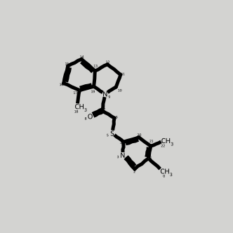 Cc1cnc(SCC(=O)N2CCCc3cccc(C)c32)cc1C